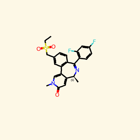 CCS(=O)(=O)Cc1ccc2c(c1)-c1cn(C)c(=O)cc1[C@H](C)N=C2c1ccc(F)cc1F